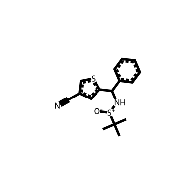 CC(C)(C)[S+]([O-])NC(c1ccccc1)c1cc(C#N)cs1